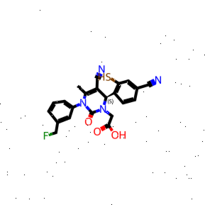 CC1=C(C#N)[C@@H](c2ccc(C#N)cc2S)N(CC(=O)O)C(=O)N1c1cccc(CF)c1